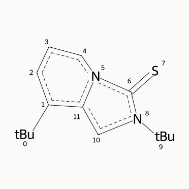 CC(C)(C)c1cccn2c(=S)n(C(C)(C)C)cc12